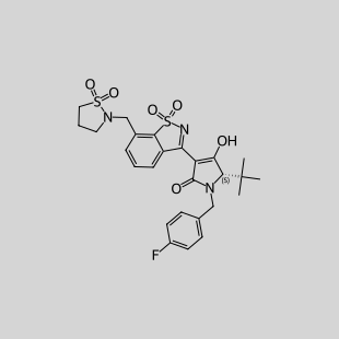 CC(C)(C)[C@H]1C(O)=C(C2=NS(=O)(=O)c3c(CN4CCCS4(=O)=O)cccc32)C(=O)N1Cc1ccc(F)cc1